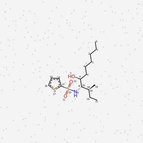 CCCCCCC(O)[C@@H](NS(=O)(=O)c1cccs1)[C@@H](C)CC